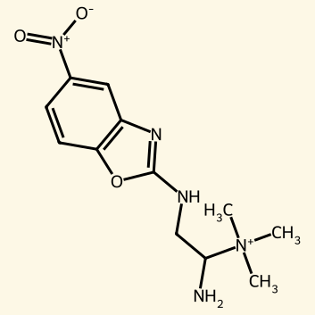 C[N+](C)(C)C(N)CNc1nc2cc([N+](=O)[O-])ccc2o1